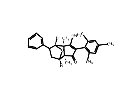 Cc1cc(C)c(C2=C(O)[C@]3(C)[C@@H]4O[C@@H](CC4c4ccccc4)[C@]3(C)C2=O)c(C)c1